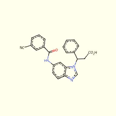 N#Cc1cccc(C(=O)Nc2ccc3ncn(C(CC(=O)O)c4ccccc4)c3c2)c1